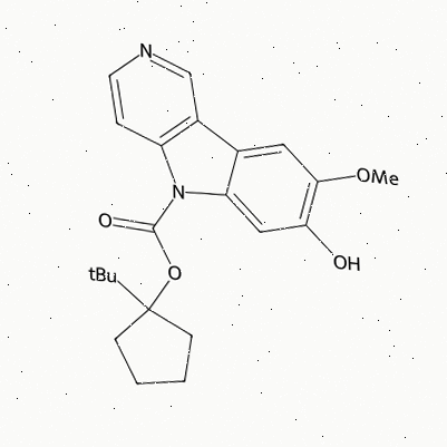 COc1cc2c3cnccc3n(C(=O)OC3(C(C)(C)C)CCCC3)c2cc1O